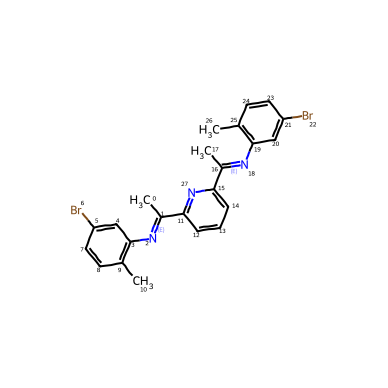 C/C(=N\c1cc(Br)ccc1C)c1cccc(/C(C)=N/c2cc(Br)ccc2C)n1